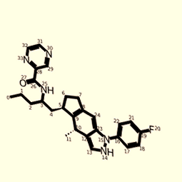 CCCC(C[C@H]1CCC2=C1[C@@H](C)C1=CNN(c3ccc(F)cc3)C1=C2)NC(=O)c1cnccn1